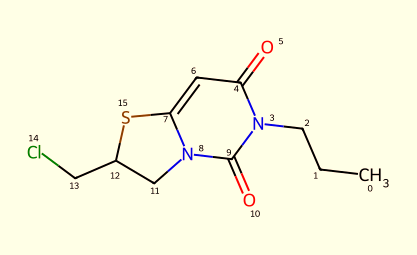 CCCn1c(=O)cc2n(c1=O)CC(CCl)S2